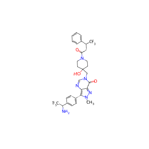 Cn1nc2c(=O)n(CC3(O)CCN(C(=O)CC(c4ccccc4)C(F)(F)F)CC3)cnc2c1-c1ccc(C(N)C(F)(F)F)cc1